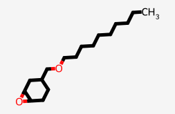 CCCCCCCCCCOCC1CCC2OC2C1